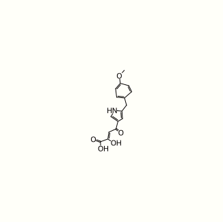 COc1ccc(Cc2cc(C(=O)C=C(O)C(=O)O)c[nH]2)cc1